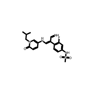 CC(C)Cn1cc(N/C=C(\C=N)c2ccc(NS(C)(=O)=O)cc2F)ccc1=O